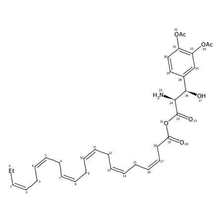 CC/C=C\C/C=C\C/C=C\C/C=C\C/C=C\C/C=C\CC(=O)OC(=O)[C@@H](N)[C@H](O)c1ccc(OC(C)=O)c(OC(C)=O)c1